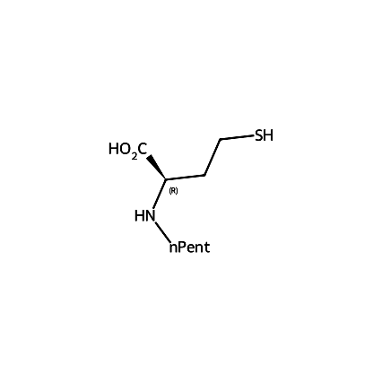 CCCCCN[C@H](CCS)C(=O)O